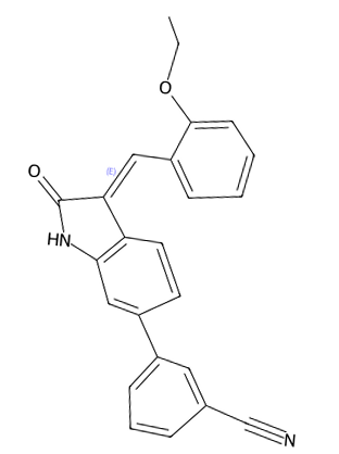 CCOc1ccccc1/C=C1/C(=O)Nc2cc(-c3cccc(C#N)c3)ccc21